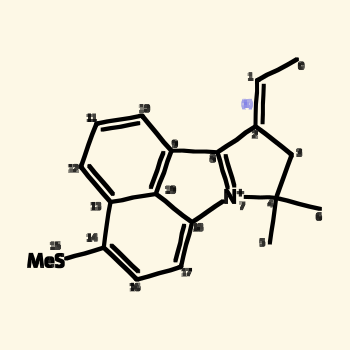 C/C=C1\CC(C)(C)[N+]2=C1c1cccc3c(SC)ccc2c13